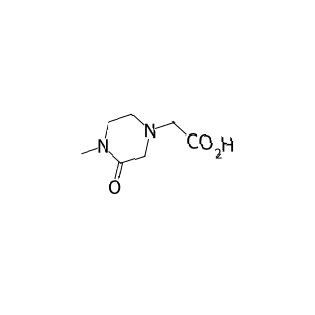 CN1CCN(CC(=O)O)CC1=O